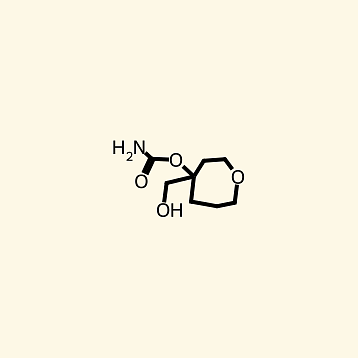 NC(=O)OC1(CO)CCCOCC1